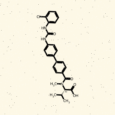 CC(C)[C@@H](C(=O)O)N(C)C(=O)c1ccc(-c2ccc(NC(=O)Nc3ccccc3Cl)cc2)cc1